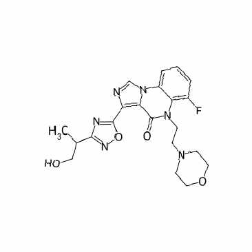 CC(CO)c1noc(-c2ncn3c2c(=O)n(CCN2CCOCC2)c2c(F)cccc23)n1